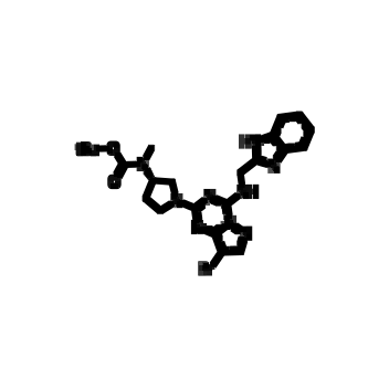 CN(C(=O)OC(C)(C)C)[C@@H]1CCN(c2nc(NCc3nc4ccccc4[nH]3)n3ncc(Br)c3n2)C1